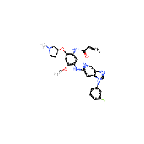 C=CC(=O)Nc1cc(Nc2cc3c(cn2)ncn3-c2cccc(F)c2)c(OC)cc1OC1CCN(C)C1